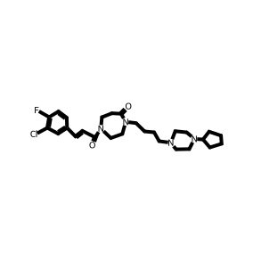 O=C(C=Cc1ccc(F)c(Cl)c1)N1CCC(=O)N(CCCCN2CCN(C3CCCC3)CC2)CC1